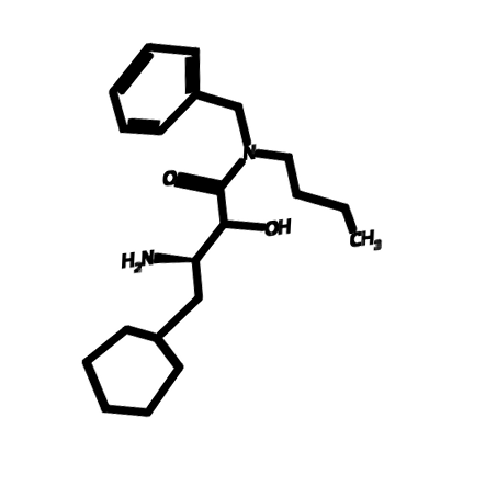 CCCCN(Cc1ccccc1)C(=O)C(O)[C@H](N)CC1CCCCC1